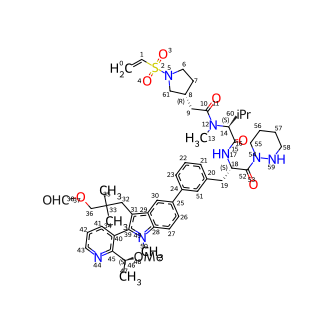 C=CS(=O)(=O)N1CC[C@H](CC(=O)N(C)[C@H](C(=O)N[C@@H](Cc2cccc(-c3ccc4c(c3)c(CC(C)(C)COC=O)c(-c3cccnc3[C@H](C)OC)n4C)c2)C(=O)N2CCCCN2)C(C)C)C1